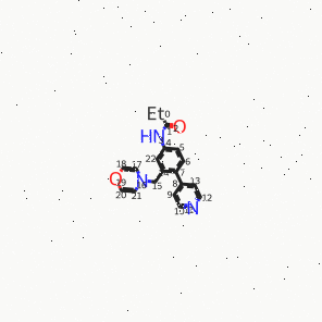 CCC(=O)Nc1ccc(-c2ccncc2)c(CN2C=COC=C2)c1